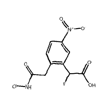 O=C(Cc1ccc([N+](=O)[O-])cc1C(F)C(=O)O)NCl